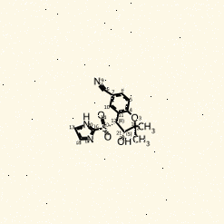 CC1(C)Oc2ccc(C#N)cc2[C@@H](S(=O)(=O)c2ncc[nH]2)[C@H]1O